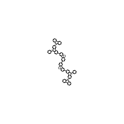 c1ccc(-n2c3ccc(-c4ccc5oc6ccc(-c7ccc8oc9ccc(-c%10ccc%11c(c%10)c%10cc(-n%12c%13ccccc%13c%13ccccc%13%12)ccc%10n%11-c%10ccccc%10)cc9c8c7)cc6c5c4)cc3c3cc(-n4c5ccccc5c5ccccc54)ccc32)cc1